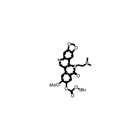 COc1cc2c(cc1OC(=O)OC(C)(C)C)c(=O)n(CCN(C)C)c1c3cc4c(cc3ncc21)OCO4